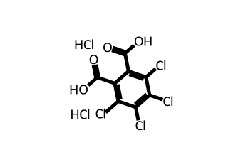 Cl.Cl.O=C(O)c1c(Cl)c(Cl)c(Cl)c(Cl)c1C(=O)O